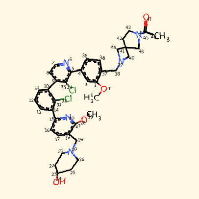 COc1cc(-c2nccc(-c3cccc(-c4ccc(CN5CCC(O)CC5)c(OC)n4)c3Cl)c2Cl)ccc1CN1CC2(CCN(C(C)=O)C2)C1